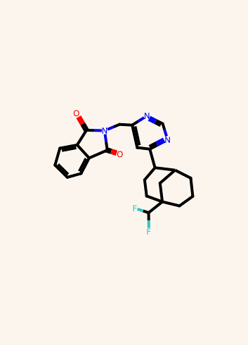 O=C1c2ccccc2C(=O)N1Cc1cc(C2CCC3(C(F)F)CCCC2C3)ncn1